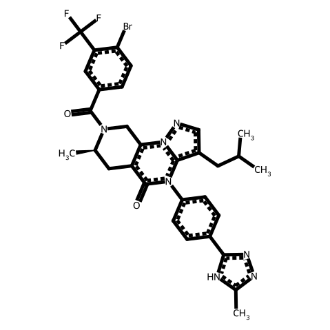 Cc1nnc(-c2ccc(-n3c(=O)c4c(n5ncc(CC(C)C)c35)CN(C(=O)c3ccc(Br)c(C(F)(F)F)c3)[C@H](C)C4)cc2)[nH]1